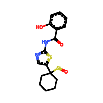 O=[S+]C1(c2cnc(NC(=O)c3ccccc3O)s2)CCCCC1